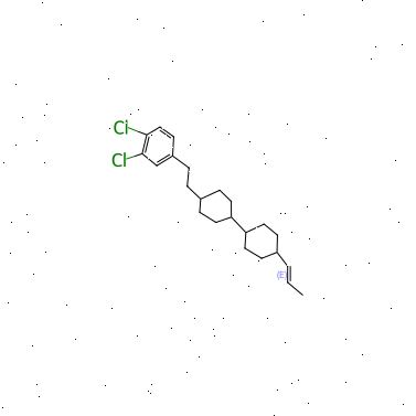 C/C=C/C1CCC(C2CCC(CCc3ccc(Cl)c(Cl)c3)CC2)CC1